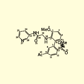 COc1ccc(OC)c(-c2cc(C(C)=O)ccc2[SH](=O)=O)c1NCC(=O)Nc1cccnc1